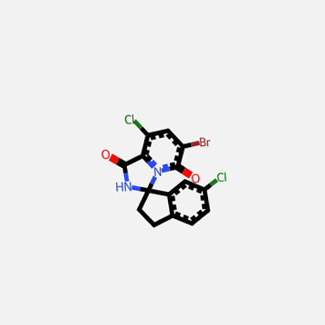 O=C1NC2(CCc3ccc(Cl)cc32)n2c1c(Cl)cc(Br)c2=O